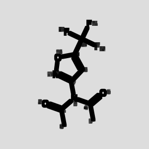 CC(=O)N(C(C)=O)c1cc(C(F)(F)F)on1